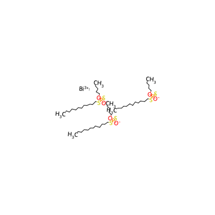 CCCCCCCCCCCCSP([O-])(=S)OCCCCC.CCCCCCCCCCCCSP([O-])(=S)OCCCCC.CCCCCCCCCCCCSP([O-])(=S)OCCCCC.[Bi+3]